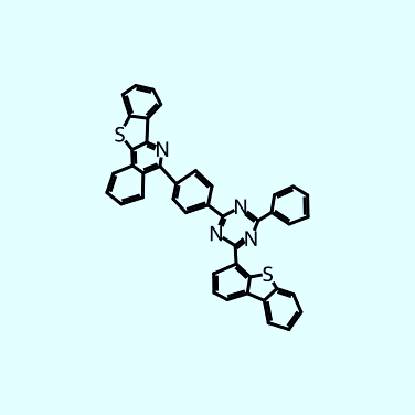 c1ccc(-c2nc(-c3ccc(-c4nc5c6ccccc6sc5c5ccccc45)cc3)nc(-c3cccc4c3sc3ccccc34)n2)cc1